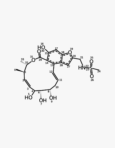 C[C@@H]1/C=C\C(O)[C@@H](O)[C@@H](O)C/C=C/c2c(c(O)cc3oc(CNS(C)(=O)=O)cc23)C(=O)O[C@H]1C